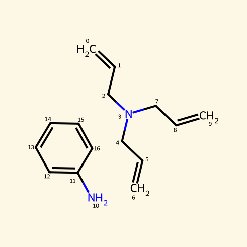 C=CCN(CC=C)CC=C.Nc1ccccc1